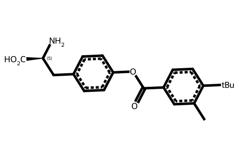 Cc1cc(C(=O)Oc2ccc(C[C@H](N)C(=O)O)cc2)ccc1C(C)(C)C